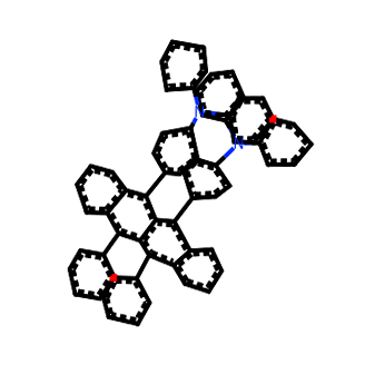 c1ccc(-c2c3ccccc3c(-c3ccc(N(c4ccccc4)c4ccccc4)cc3)c3c(-c4ccc(N(c5ccccc5)c5ccccc5)cc4)c4ccccc4c(-c4ccccc4)c23)cc1